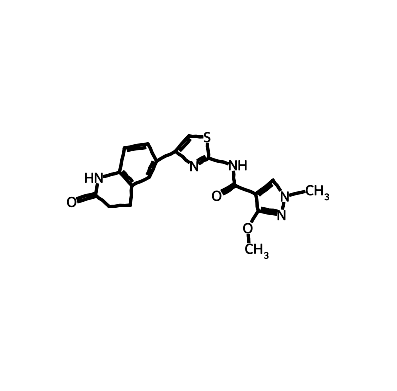 COc1nn(C)cc1C(=O)Nc1nc(-c2ccc3c(c2)CCC(=O)N3)cs1